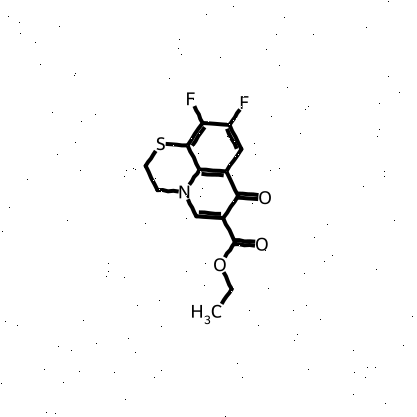 CCOC(=O)c1cn2c3c(c(F)c(F)cc3c1=O)SCC2